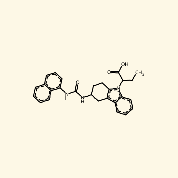 CCC(C(=O)O)n1c2c(c3ccccc31)CC(NC(=O)Nc1cccc3ccccc13)CC2